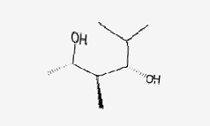 CC(C)[C@H](O)[C@@H](C)[C@H](C)O